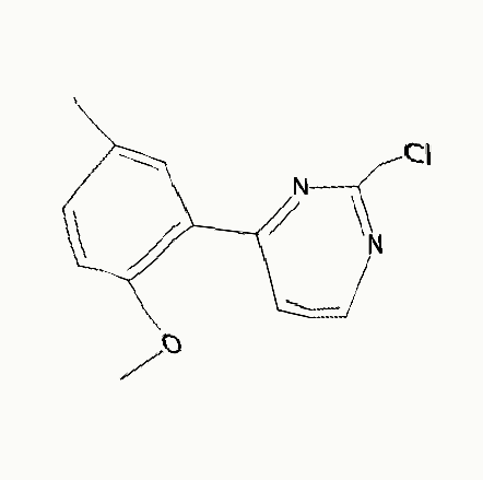 COc1ccc(C)cc1-c1ccnc(Cl)n1